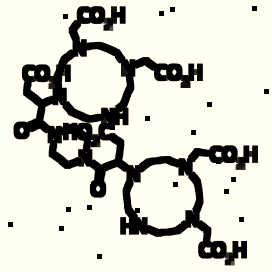 O=C(O)CC(C(=O)N1CCN(C(=O)C(CC(=O)O)N2CCNCCN(CC(=O)O)CCN(CC(=O)O)CC2)CC1)N1CCNCCN(CC(=O)O)CCN(CC(=O)O)CC1